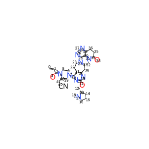 C=CC(=O)N1CCN(c2nc(OC[C@@H]3CCCN3C)nc3c2CCN(c2ncnc4c2N(C)C(=O)CC4)CC3)C[C@@H]1CC#N